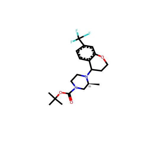 C[C@H]1CN(C(=O)OC(C)(C)C)CCN1C1CCOc2cc(C(F)(F)F)ccc21